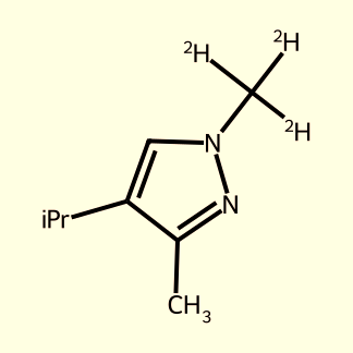 [2H]C([2H])([2H])n1cc(C(C)C)c(C)n1